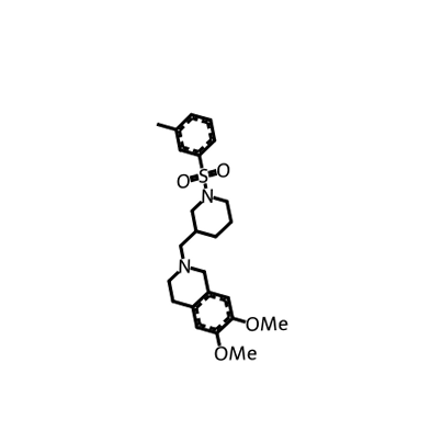 COc1cc2c(cc1OC)CN(CC1CCCN(S(=O)(=O)c3cccc(C)c3)C1)CC2